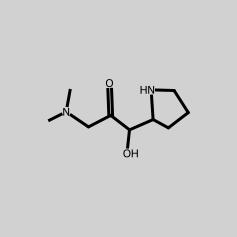 CN(C)CC(=O)C(O)C1CCCN1